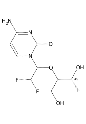 C[C@@H](O)C(CO)OC(C(F)F)n1ccc(N)nc1=O